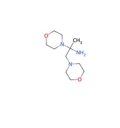 CC(N)(CN1CCOCC1)N1CCOCC1